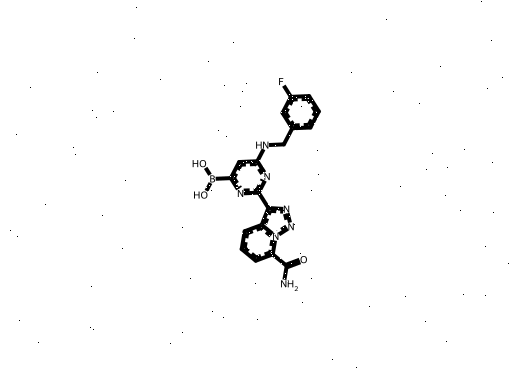 NC(=O)c1cccc2c(-c3nc(NCc4cccc(F)c4)cc(B(O)O)n3)nnn12